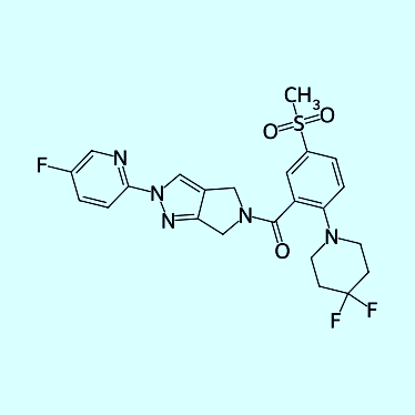 CS(=O)(=O)c1ccc(N2CCC(F)(F)CC2)c(C(=O)N2Cc3cn(-c4ccc(F)cn4)nc3C2)c1